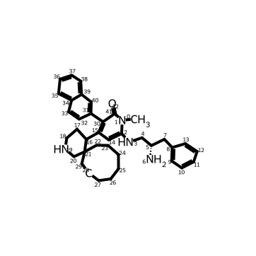 Cn1c(NC[C@@H](N)Cc2ccccc2)cc(C2CCNCC23CCCCCCCC3)c(-c2ccc3ccccc3c2)c1=O